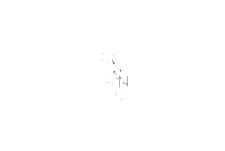 Cc1c(C)c(C)c2c(c1C)c1c3c(c4c5c(C)c(C)c(C)c(C)c5n(C)c4c1n2C)C(C)C(C)C3C